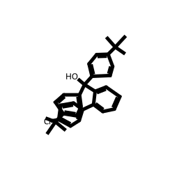 CC(C)(C)c1ccc(C(O)(c2ccc(C(C)(C)C)cc2)c2ccccc2-c2ccc(Cl)cc2)cc1